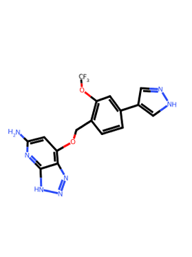 Nc1cc(OCc2ccc(-c3cn[nH]c3)cc2OC(F)(F)F)c2nn[nH]c2n1